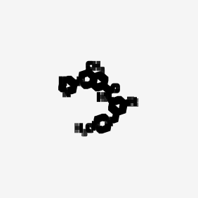 CCc1cc(CN2CCN(C)CC2)cc(NC(=O)c2ccc3c(c2)CN(c2cncnc2)CC3C)c1